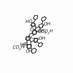 CC1=C(C(c2cc(C3CCCCC3)c(O)cc2C)c2cc(Cc3ccc(OCC(=O)O)c(C(c4cc(C5CCCCC5)c(O)cc4C)c4cc(C5CCCCC5)c(O)cc4C)c3)ccc2OCC(=O)O)CC(C2CCCCC2)C(O)=C1